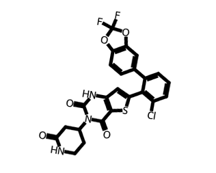 O=C1CC(n2c(=O)[nH]c3cc(-c4c(Cl)cccc4-c4ccc5c(c4)OC(F)(F)O5)sc3c2=O)CCN1